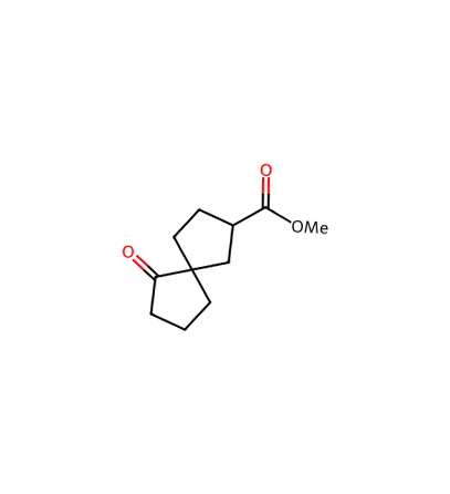 COC(=O)C1CCC2(CCCC2=O)C1